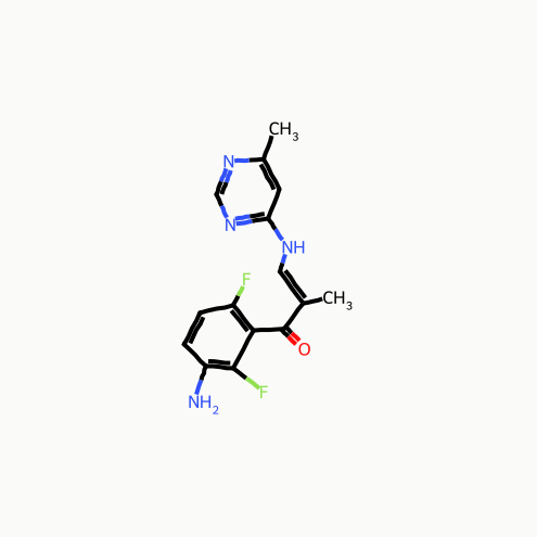 C/C(=C\Nc1cc(C)ncn1)C(=O)c1c(F)ccc(N)c1F